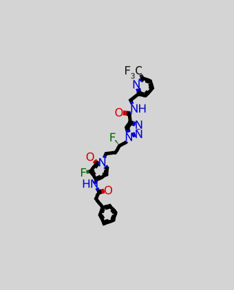 O=C(Cc1ccccc1)Nc1ccn(CC[C@H](F)Cn2cc(C(=O)NCc3cccc(C(F)(F)F)n3)nn2)c(=O)c1F